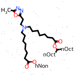 CCCCCCCCCOC(=O)CCCCCCCN(CCCCCCCC(=O)OC(CCCCCCCC)CCCCCCCC)CCc1nnc(C)o1